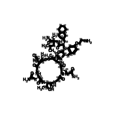 CC(C)C[C@](C)(NC(=O)[C@H](CC1CCC2CCCCC2C1)NC(=O)[C@H](Cc1ccc(OCCN)cc1)NC(=O)[C@H]1NC(=O)[C@H](CCC(N)=O)NC(=O)CNC(=O)[C@H]([C@@H](C)O)NC(=O)[C@H](CC(N)=O)NCC(=O)[C@@H](NC=O)C(C)(C)SSC1(C)C)C(N)=O